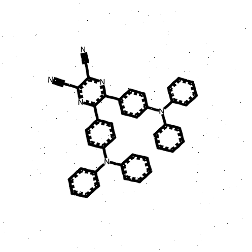 N#Cc1nc(-c2ccc(N(c3ccccc3)c3ccccc3)cc2)c(-c2ccc(N(c3ccccc3)c3ccccc3)cc2)nc1C#N